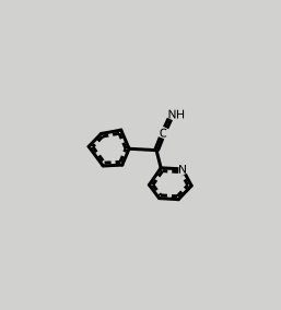 N=C=C(c1ccccc1)c1ccccn1